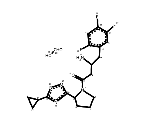 NC(CC(=O)N1CCCC1c1nc(C2CC2)no1)Cc1cc(F)c(F)cc1F.O=CO